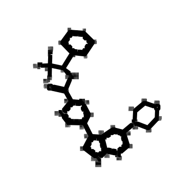 O=C(N[C@H](c1ccccc1)C(F)(F)F)c1ncc(-c2c[nH]c3ncc(N4CCOCC4)cc23)cn1